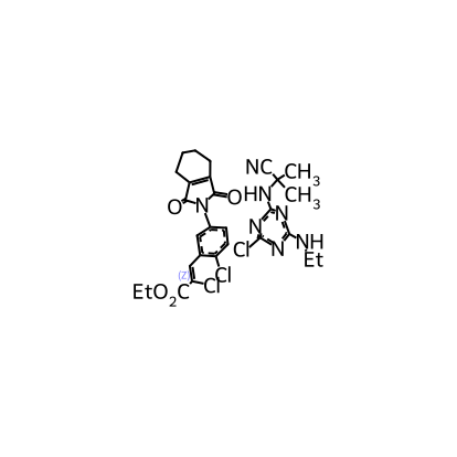 CCNc1nc(Cl)nc(NC(C)(C)C#N)n1.CCOC(=O)/C(Cl)=C/c1cc(N2C(=O)C3=C(CCCC3)C2=O)ccc1Cl